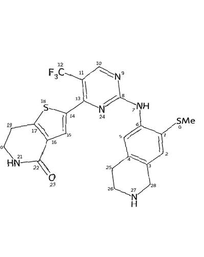 CSc1cc2c(cc1Nc1ncc(C(F)(F)F)c(-c3cc4c(s3)CCNC4=O)n1)CCNC2